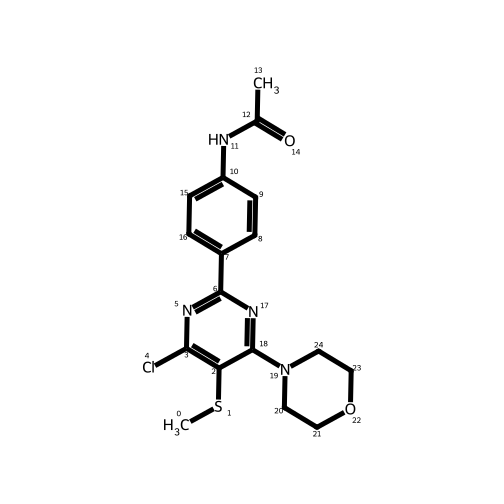 CSc1c(Cl)nc(-c2ccc(NC(C)=O)cc2)nc1N1CCOCC1